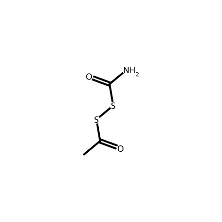 CC(=O)SSC(N)=O